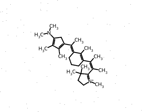 CC1=C(/C(C)=C2\CCCC(C(/C)=C(/C)C3=[N+](C)CCC3(C)C)=C2C)CC(N(C)C)=C1C